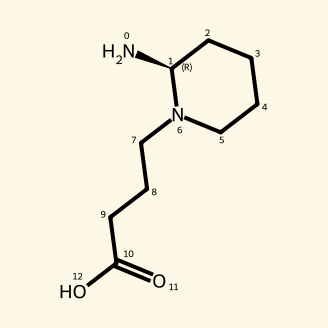 N[C@H]1CCCCN1CCCC(=O)O